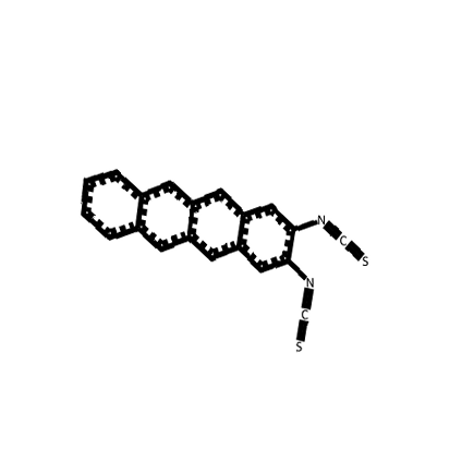 S=C=Nc1cc2cc3cc4ccccc4cc3cc2cc1N=C=S